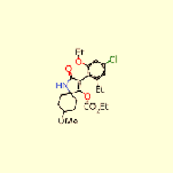 CCOC(=O)OC1=C(c2c(CC)cc(Cl)cc2OCC)C(=O)NC12CCC(OC)CC2